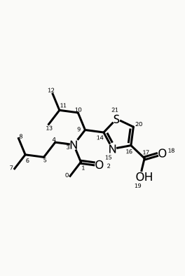 CC(=O)N(CCC(C)C)C(CC(C)C)c1nc(C(=O)O)cs1